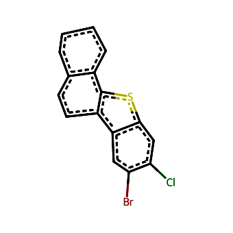 Clc1cc2sc3c4ccccc4ccc3c2cc1Br